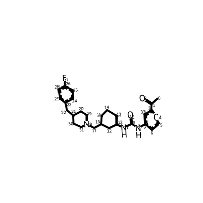 CC(=O)c1cccc(NC(=O)NC2CCCC(CN3CCC(Cc4ccc(F)cc4)CC3)C2)c1